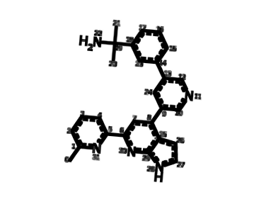 Cc1cccc(-c2cc(-c3cncc(-c4cccc(C(C)(C)N)c4)c3)c3cc[nH]c3n2)n1